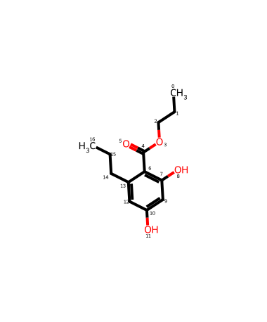 CCCOC(=O)c1c(O)cc(O)cc1CCC